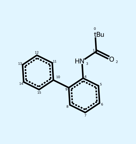 CC(C)(C)C(=O)Nc1ccccc1-c1ccccc1